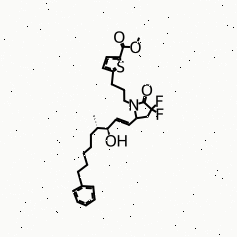 COC(=O)c1ccc(CCCN2C(=O)C(F)(F)CC2C=C[C@@H](O)[C@@H](C)CCCCCc2ccccc2)s1